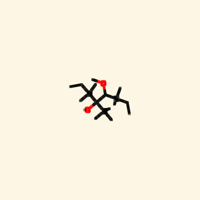 CC[Si](C)(C)C(OC)C([O])([Si](C)(C)C)[Si](C)(C)CC